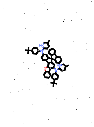 CC1=CC=C(N(c2ccc(C(C)(C)C)cc2)c2ccc3c(c2)C2(c4ccccc4-c4ccccc42)c2cc(N(C4=CC=C(C)CN4)c4ccc(C(C)(C)C)cc4)c4c(oc5ccccc54)c2-3)NC1